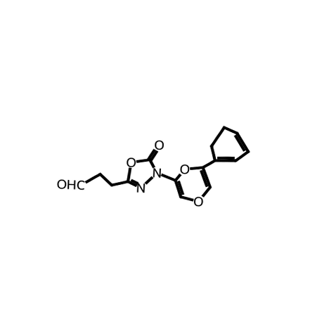 O=CCCc1nn(C2=COC=C(C3=CC=CCC3)O2)c(=O)o1